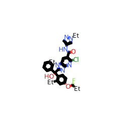 CCc1cc(OC(F)CC)ccc1C(O)(c1ccccc1)c1nc2nc(Cl)c(C(=O)Nc3cnn(CC)c3)cc2n1CC